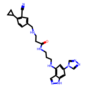 N#Cc1cc(CNCCC(=O)NCCCNc2cc(-n3cnnc3)cc3[nH]ncc23)ccc1C1CC1